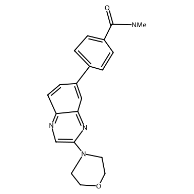 CNC(=O)c1ccc(-c2ccc3ncc(N4CCOCC4)nc3c2)cc1